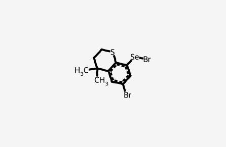 CC1(C)CCSc2c([Se]Br)cc(Br)cc21